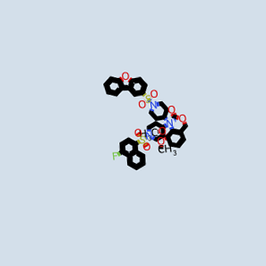 COC1(OC)CC=CC2=C1[N+](C1CCN(S(=O)(=O)c3ccc4oc5ccccc5c4c3)CC1)(C1CCN(S(=O)(=O)c3ccc(F)c4ccccc34)CC1)C(=O)OC2